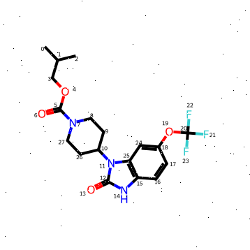 CC(C)COC(=O)N1CCC(n2c(=O)[nH]c3ccc(OC(F)(F)F)cc32)CC1